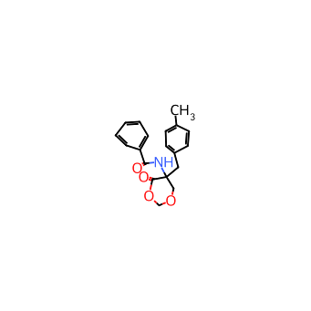 Cc1ccc(CC2(NC(=O)c3ccccc3)COCOC2=O)cc1